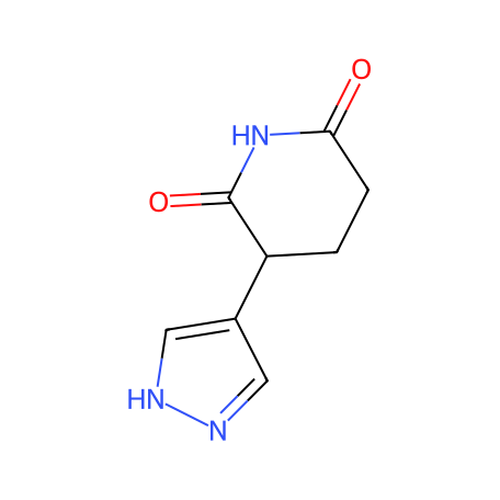 O=C1CCC(c2cn[nH]c2)C(=O)N1